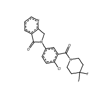 O=C(c1cc(N2Cc3ncccc3C2=O)ccc1Cl)N1CCC(F)(F)CC1